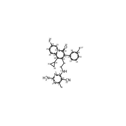 Cc1nc(N)nc(NCCc2c(-c3cccc(F)c3)c(=O)n3cc(F)ccc3c2C2CC2)c1C#N